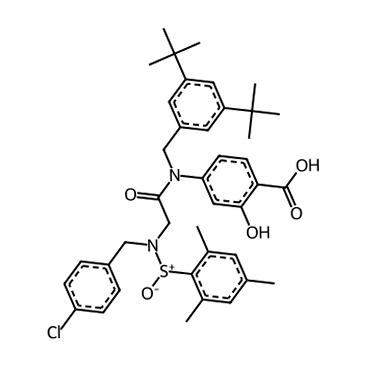 Cc1cc(C)c([S+]([O-])N(CC(=O)N(Cc2cc(C(C)(C)C)cc(C(C)(C)C)c2)c2ccc(C(=O)O)c(O)c2)Cc2ccc(Cl)cc2)c(C)c1